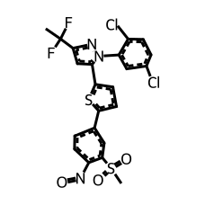 CC(F)(F)c1cc(-c2ccc(-c3ccc(N=O)c(S(C)(=O)=O)c3)s2)n(-c2cc(Cl)ccc2Cl)n1